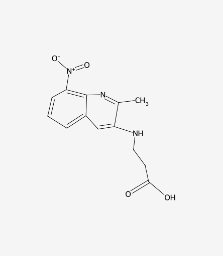 Cc1nc2c([N+](=O)[O-])cccc2cc1NCCC(=O)O